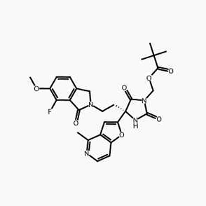 COc1ccc2c(c1F)C(=O)N(CC[C@@]1(c3cc4c(C)nccc4o3)NC(=O)N(COC(=O)C(C)(C)C)C1=O)C2